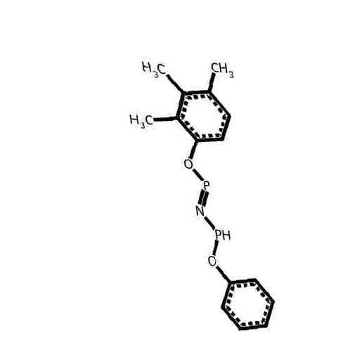 Cc1ccc(OP=NPOc2ccccc2)c(C)c1C